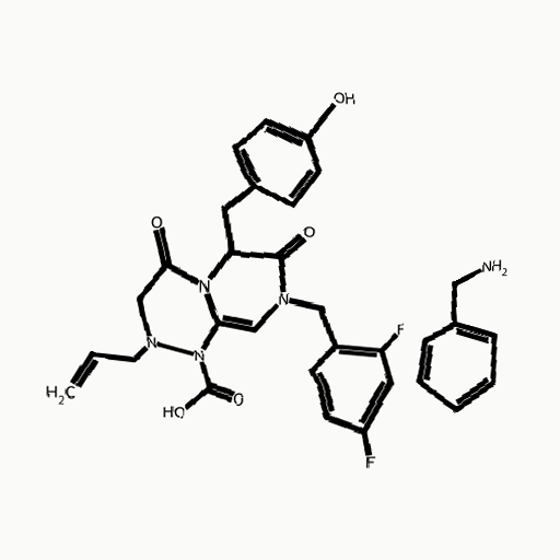 C=CCN1CC(=O)N2C(=CN(Cc3ccc(F)cc3F)C(=O)C2Cc2ccc(O)cc2)N1C(=O)O.NCc1ccccc1